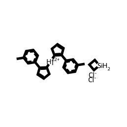 C1C[SiH2]C1.Cc1cccc(C2=[C]([Hf+2][C]3=C(c4cccc(C)c4)C=CC3)CC=C2)c1.[Cl-].[Cl-]